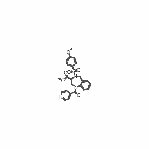 COC(=O)C1CN(C(=O)c2ccncc2)c2ccccc2CN1S(=O)(=O)c1ccc(OC)cc1